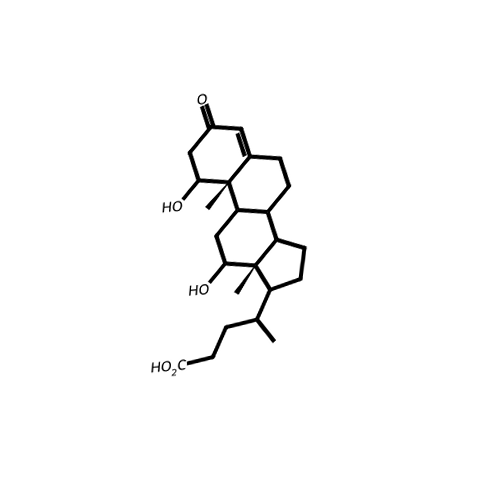 CC(CCC(=O)O)C1CCC2C3CCC4=CC(=O)CC(O)[C@@]4(C)C3CC(O)[C@@]12C